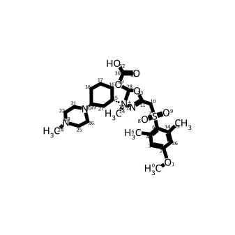 COc1cc(C)c(S(=O)(=O)CC2=N[N+](C)([C@H]3CCC[C@@H](N4CCN(C)CC4)C3)C(OC(=O)O)O2)c(C)c1